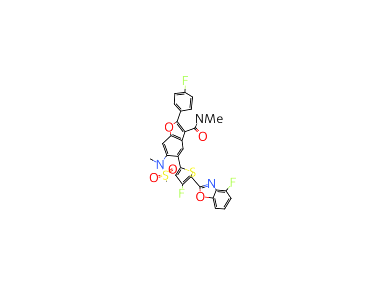 CNC(=O)c1c(-c2ccc(F)cc2)oc2cc(N(C)S(C)(=O)=O)c(-c3cc(F)c(-c4nc5c(F)cccc5o4)s3)cc12